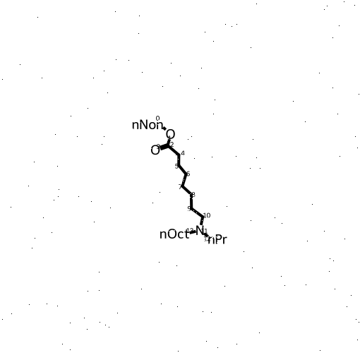 CCCCCCCCCOC(=O)CCCCCCCN(CCC)CCCCCCCC